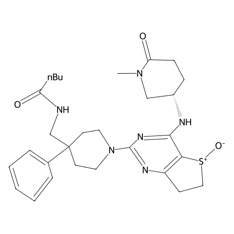 CCCCC(=O)NCC1(c2ccccc2)CCN(c2nc3c(c(N[C@H]4CCC(=O)N(C)C4)n2)[S+]([O-])CC3)CC1